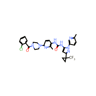 Cc1ccc(-n2nc(C3(C(F)(F)F)CC3)cc2NC(=O)Nc2ccc(N3CCN(C(=O)c4ccccc4Cl)CC3)nc2C)cn1